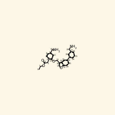 CCOC(=O)Cc1ccc(CN)cc1OCc1coc2ccc(-c3cccc(CN)c3)cc12